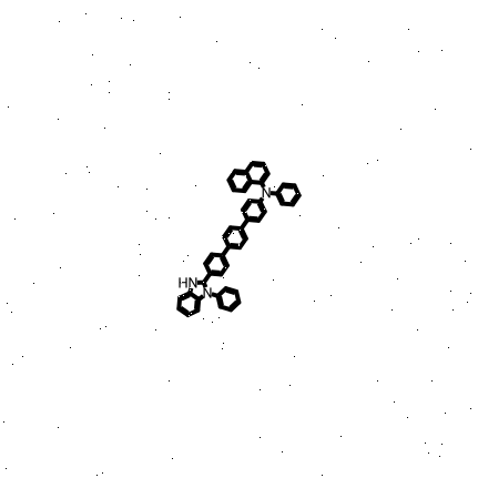 c1ccc(N(c2ccc(-c3ccc(-c4ccc(C5Nc6ccccc6N5c5ccccc5)cc4)cc3)cc2)c2cccc3ccccc23)cc1